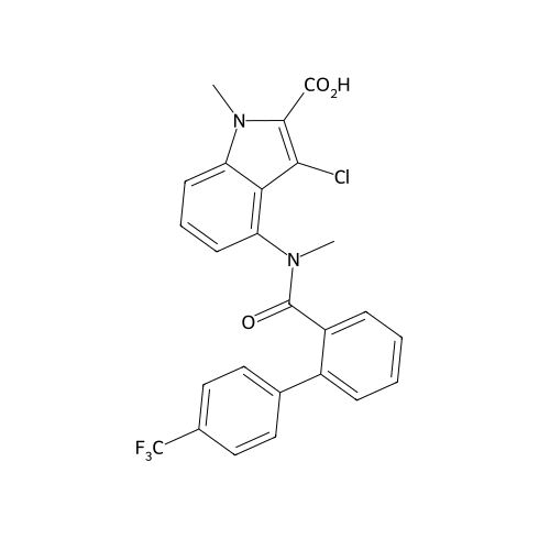 CN(C(=O)c1ccccc1-c1ccc(C(F)(F)F)cc1)c1cccc2c1c(Cl)c(C(=O)O)n2C